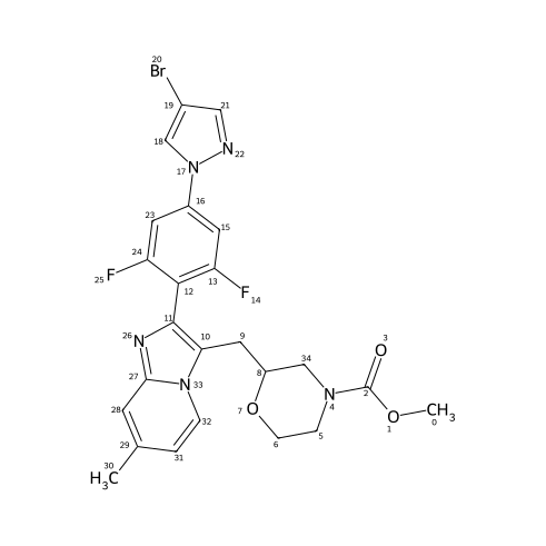 COC(=O)N1CCOC(Cc2c(-c3c(F)cc(-n4cc(Br)cn4)cc3F)nc3cc(C)ccn23)C1